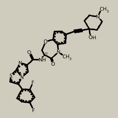 CN1CCC(O)(C#Cc2ccc3c(c2)N(C)C(=O)[C@@H](NC(=O)c2cn4c(-c5ccc(F)cc5F)csc4n2)CO3)CC1